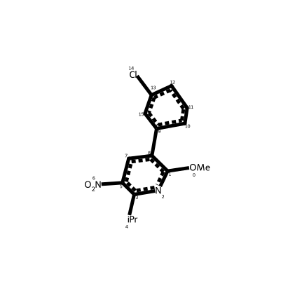 COc1nc(C(C)C)c([N+](=O)[O-])cc1-c1cccc(Cl)c1